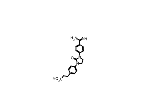 N=C(N)c1ccc(N2CCN(c3ccc(CCC(=O)O)cc3)C2=O)cc1